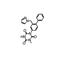 Cn1c(=O)[nH]c(=O)n(-c2ccc(-c3ccccc3)c(Cn3cccn3)c2)c1=O